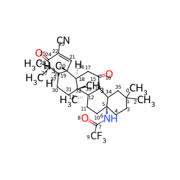 CC1(C)CC[C@]2(NC(=O)C(F)(F)F)CC[C@]3(C)C(C(=O)C[C@@H]4[C@@]5(C)C=C(C#N)C(=O)C(C)(C)[C@@H]5CC[C@]43C)C2C1